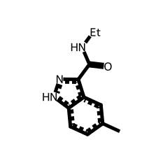 CCNC(=O)c1n[nH]c2ccc(C)cc12